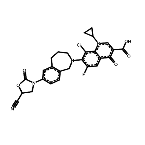 N#CC1CN(c2ccc3c(c2)CCCN(c2c(F)cc4c(=O)c(C(=O)O)cn(C5CC5)c4c2Cl)C3)C(=O)O1